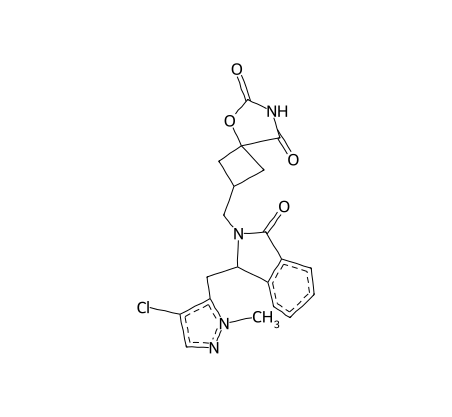 Cn1ncc(Cl)c1CC1c2ccccc2C(=O)N1CC1CC2(C1)OC(=O)NC2=O